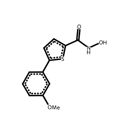 COc1cccc(-c2ccc(C(=O)NO)s2)c1